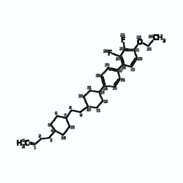 C=CCCC1CCC(CCC2CCC(c3ccc(-c4ccc(OCC)c(F)c4F)cc3)CC2)CC1